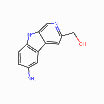 Nc1ccc2[nH]c3cnc(CO)cc3c2c1